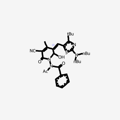 CCCCN(CCCC)c1nc(C(C)(C)C)c(/C=C2/C(C)=C(C#N)C(=O)N(N(C(C)=O)C(=O)c3ccccc3)C2O)s1